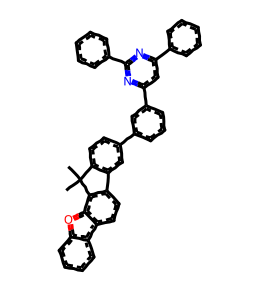 CC1(C)c2ccc(-c3cccc(-c4cc(-c5ccccc5)nc(-c5ccccc5)n4)c3)cc2-c2ccc3c(oc4ccccc43)c21